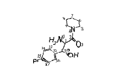 NC(C(=O)N1CCCCC1)C(O)c1ccc(F)cc1